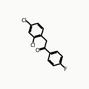 O=C(Cc1ccc(Cl)cc1Cl)c1ccc(F)cc1